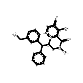 CCc1cccc(C(c2ccccc2)C2CN(C)C(=O)c3c(O)c(=O)cnn32)c1